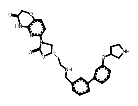 O=C1COc2ccc(N3C[C@H](CCNCc4cccc(-c5cccc(OC6CCNC6)c5)c4)OC3=O)nc2N1